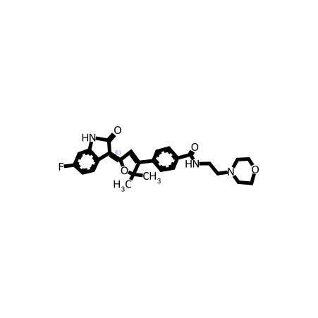 CC1(C)O/C(=C2/C(=O)Nc3cc(F)ccc32)C=C1c1ccc(C(=O)NCCN2CCOCC2)cc1